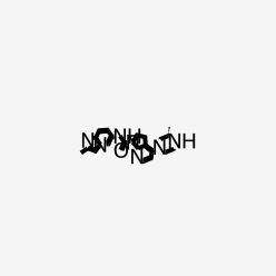 Cc1cn2cc(NC(=O)N3CCc4c(N5CCN[C@@H](C)C5)ccnc43)ccc2n1